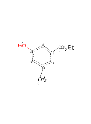 CCOC(=O)c1cc(C)cc(O)c1